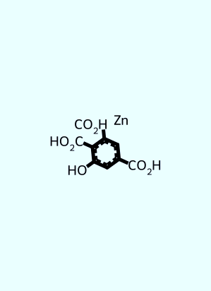 O=C(O)c1cc(O)c(C(=O)O)c(C(=O)O)c1.[Zn]